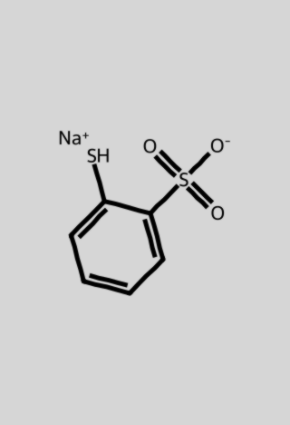 O=S(=O)([O-])c1ccccc1S.[Na+]